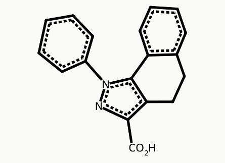 O=C(O)c1nn(-c2ccccc2)c2c1CCc1ccccc1-2